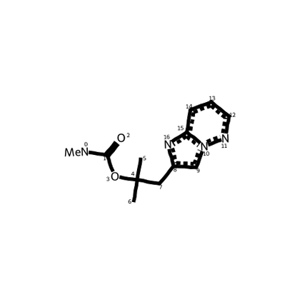 CNC(=O)OC(C)(C)Cc1cn2ncccc2n1